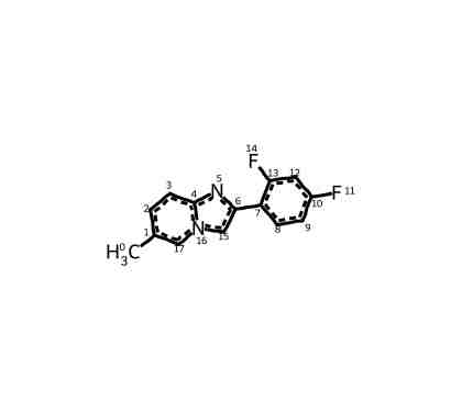 Cc1ccc2nc(-c3ccc(F)cc3F)cn2c1